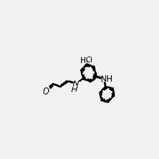 Cl.O=CC=CNc1cccc(Nc2ccccc2)c1